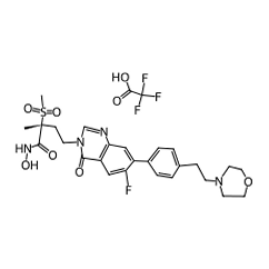 C[C@@](CCn1cnc2cc(-c3ccc(CCN4CCOCC4)cc3)c(F)cc2c1=O)(C(=O)NO)S(C)(=O)=O.O=C(O)C(F)(F)F